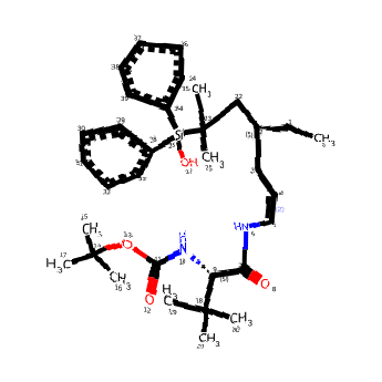 CC[C@@H](C/C=C\NC(=O)[C@@H](NC(=O)OC(C)(C)C)C(C)(C)C)CC(C)(C)[Si](O)(c1ccccc1)c1ccccc1